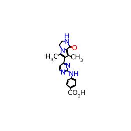 Cc1c(-c2ccnc(Nc3ccc(C(=O)O)cc3)n2)c(C)n2c1C(=O)NCC2